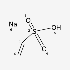 C=CS(=O)(=O)O.[Na]